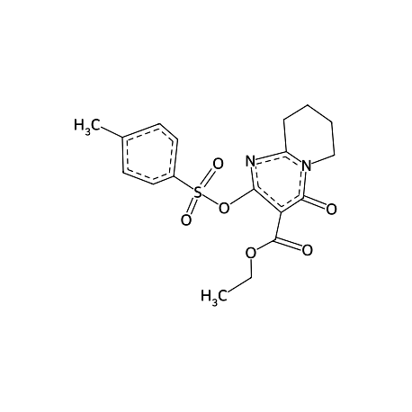 CCOC(=O)c1c(OS(=O)(=O)c2ccc(C)cc2)nc2n(c1=O)CCCC2